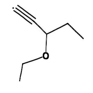 [C]#CC(CC)OCC